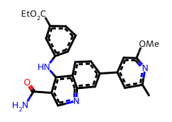 CCOC(=O)c1cccc(Nc2c(C(N)=O)cnc3cc(-c4cc(C)nc(OC)c4)ccc23)c1